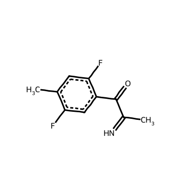 CC(=N)C(=O)c1cc(F)c(C)cc1F